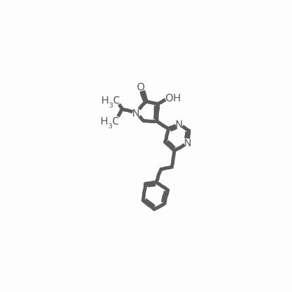 CC(C)N1CC(c2cc(CCc3ccccc3)ncn2)=C(O)C1=O